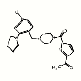 CC(=O)c1ccn(C(=O)N2CCN(Cc3ccc(Cl)cc3N3CCCC3)CC2)n1